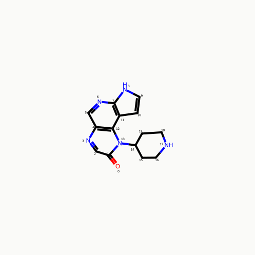 O=c1cnc2cnc3[nH]ccc3c2n1C1CCNCC1